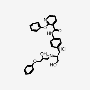 Cl.O=C(Nc1ccc(C[C@@H](CO)NC[C@H](O)COc2ccccc2)cc1)c1cccnc1Oc1ccccc1